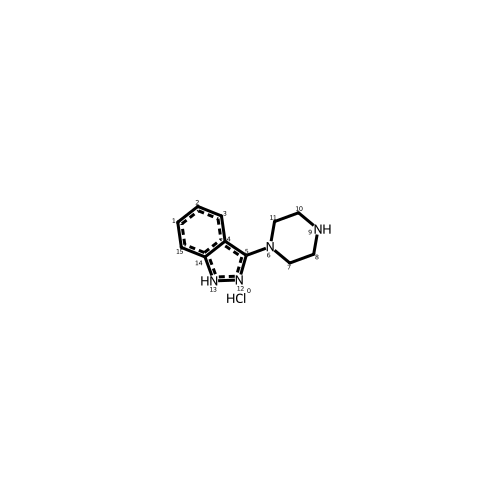 Cl.c1ccc2c(N3CCNCC3)n[nH]c2c1